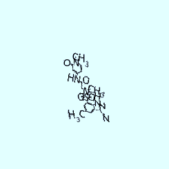 Cc1cc(S(=O)(=O)N(C)CC(=O)Nc2ccn(C)c(=O)c2)c2[nH]nc(C#N)c2c1